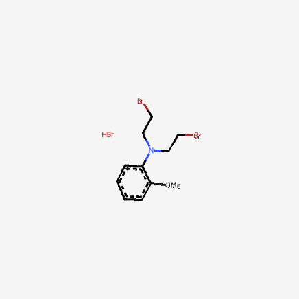 Br.COc1ccccc1N(CCBr)CCBr